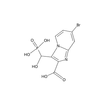 O=C(O)c1nc2cc(Br)ccn2c1C(O)P(=O)(O)O